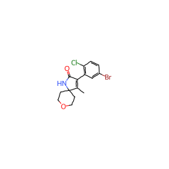 CC1=C(c2cc(Br)ccc2Cl)C(=O)NC12CCOCC2